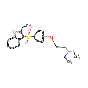 CCc1oc2ccccc2c1S(=O)(=O)c1ccc(OCCN(CC)CC)cc1